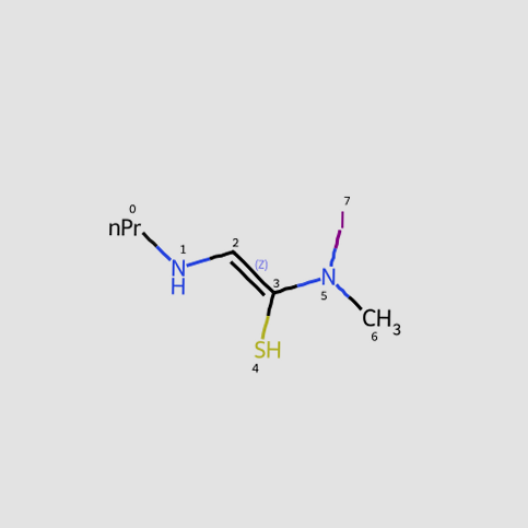 CCCN/C=C(\S)N(C)I